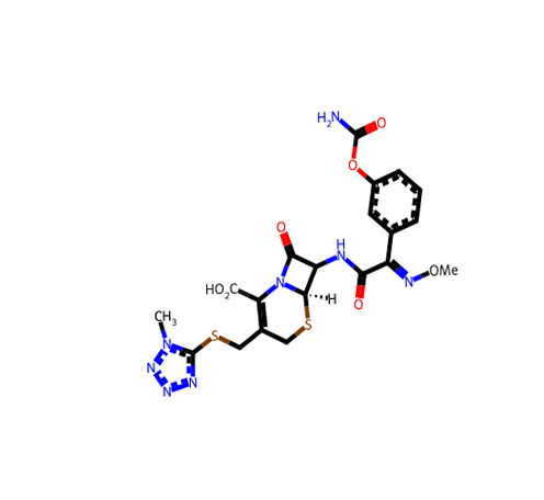 CO/N=C(/C(=O)NC1C(=O)N2C(C(=O)O)=C(CSc3nnnn3C)CS[C@H]12)c1cccc(OC(N)=O)c1